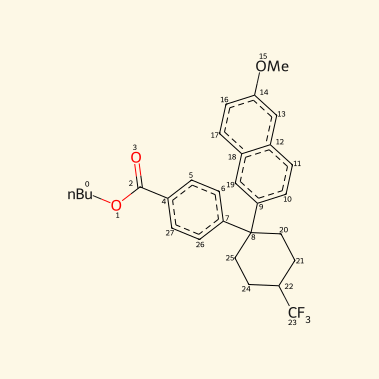 CCCCOC(=O)c1ccc(C2(c3ccc4cc(OC)ccc4c3)CCC(C(F)(F)F)CC2)cc1